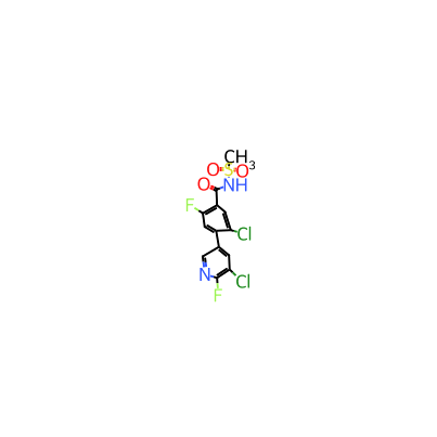 CS(=O)(=O)NC(=O)c1cc(Cl)c(-c2cnc(F)c(Cl)c2)cc1F